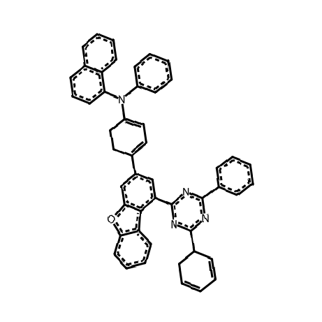 C1=CCC(c2nc(-c3ccccc3)nc(-c3cc(C4=CC=C(N(c5ccccc5)c5cccc6ccccc56)CC4)cc4oc5ccccc5c34)n2)C=C1